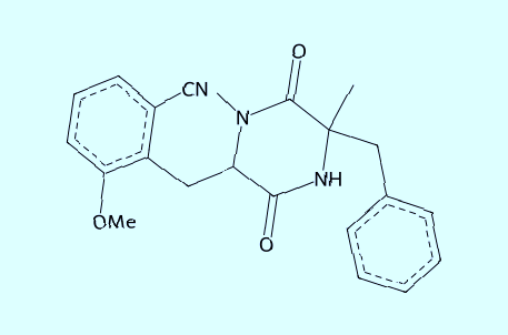 COc1cccc(C#N)c1CC1C(=O)NC(C)(Cc2ccccc2)C(=O)N1C